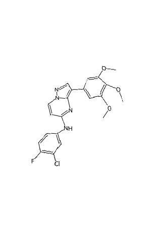 COc1cc(-c2cnn3ccc(Nc4ccc(F)c(Cl)c4)nc23)cc(OC)c1OC